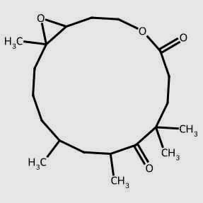 CC1CCCC2(C)OC2CCOC(=O)CCC(C)(C)C(=O)C(C)C1